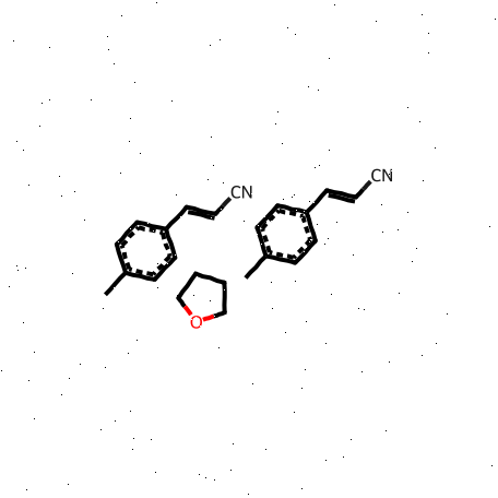 C1CCOC1.Cc1ccc(C=CC#N)cc1.Cc1ccc(C=CC#N)cc1